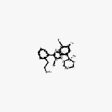 CC(=O)NCCc1ccccc1-c1onc([C@H]2CNCC[C@]2(O)c2ccc(F)c(F)c2)c1Br